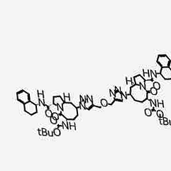 CC(C)(C)OC(=O)N[C@H]1CCC(n2cc(COCc3cn(C4CC[C@H](NC(=O)OC(C)(C)C)C(=O)N5[C@H](CC[C@H]5C(=O)N[C@@H]5CCCc6ccccc65)C4)nn3)nn2)C[C@H]2CC[C@@H](C(=O)N[C@@H]3CCCc4ccccc43)N2C1=O